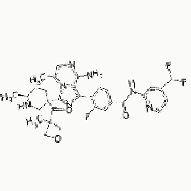 Cc1cnc(N)c2c(-c3ccc(C(=O)Nc4cc(C(F)F)ccn4)cc3F)nc([C@@]3(C(=O)C4(C)COC4)CC[C@H](C)NC3)n12